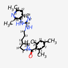 Cc1cc(C)c(C(=O)N2CCC(CCCN/C(=N/C#N)Nc3ccc(C)nc3C)C2)c(C)c1